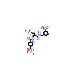 COC(=O)c1ccc(C(=O)Nc2sc(C)cc2C(=O)NCc2cccc([N+](=O)[O-])c2)cc1